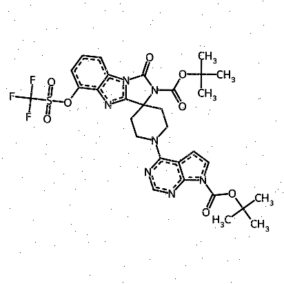 CC(C)(C)OC(=O)N1C(=O)n2c(nc3c(OS(=O)(=O)C(F)(F)F)cccc32)C12CCN(c1ncnc3c1ccn3C(=O)OC(C)(C)C)CC2